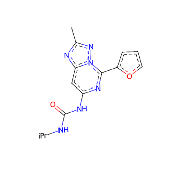 Cc1nc2cc(NC(=O)NC(C)C)nc(-c3ccco3)n2n1